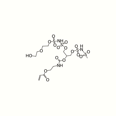 C=CC(=O)OCCNC(=O)OC(COS(=O)(=O)NS(C)(=O)=O)COS(=O)(=O)NS(=O)(=O)OCCOCCO